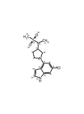 CN(C1CCN(c2cc(Cl)cc3[nH]ncc23)C1)S(C)(=O)=O